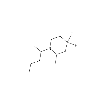 CCCC(C)N1CCC(F)(F)CC1C